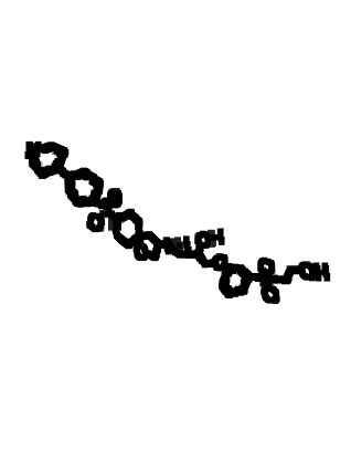 O=S(=O)(CCO)c1cccc(OCC(O)CNC2COC3(CCN(S(=O)(=O)c4ccc(-c5ccncc5)cc4)CC3)C2)c1